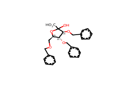 O=C(O)C1(O)O[C@H](COCc2ccccc2)[C@@H](OCc2ccccc2)[C@@H]1OCc1ccccc1